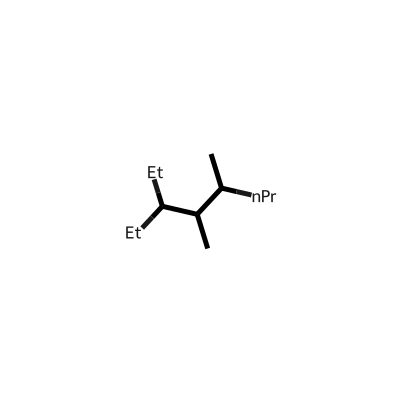 [CH2]CC(CC)C(C)C(C)CCC